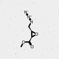 COC(=O)[C@@H]1O[C@@H]1CN=[N+]=[N-]